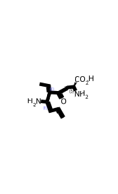 C=C/C=C(N)\C(=C/C)C(=O)C[C@H](N)C(=O)O